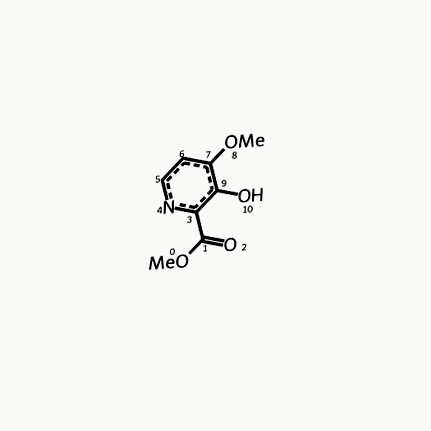 COC(=O)c1nccc(OC)c1O